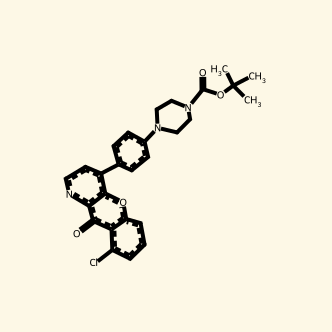 CC(C)(C)OC(=O)N1CCN(c2ccc(-c3ccnc4c(=O)c5c(Cl)cccc5oc34)cc2)CC1